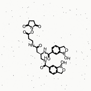 O=C(C[C@H](CNC(=O)c1ccc2c(c1)B(O)OC2)NC(=O)c1ccc2c(c1)B(O)OC2)NCCC(=O)ON1C(=O)CCC1=O